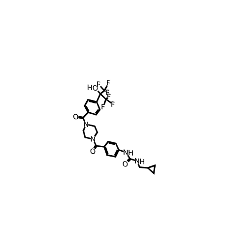 O=C(NCC1CC1)Nc1ccc(C(=O)N2CCN(C(=O)c3ccc(C(O)(C(F)(F)F)C(F)(F)F)cc3)CC2)cc1